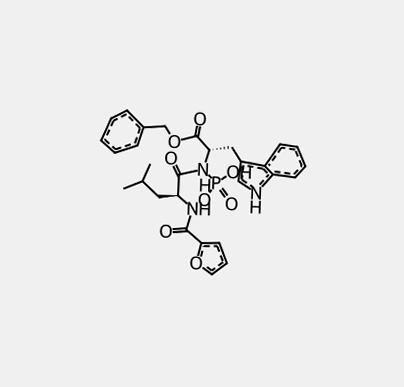 CC(C)C[C@H](NC(=O)c1ccco1)C(=O)N([C@@H](Cc1c[nH]c2ccccc12)C(=O)OCc1ccccc1)P(=O)(O)O